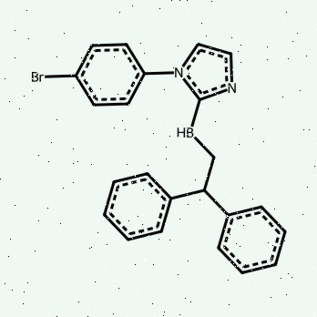 Brc1ccc(-n2ccnc2BCC(c2ccccc2)c2ccccc2)cc1